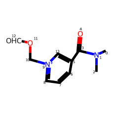 CN(C)C(=O)c1ccc[n+](COC=O)c1